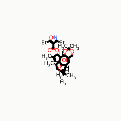 CCc1noc(CC)c1C(=O)O[C@H]1C(C)=C[C@]23C(=O)[C@@H](C=C4COC(C)(C)O[C@H]4[C@]12O)[C@H]1[C@@H](C[C@H]3C)C1(C)C